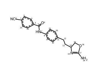 N#Cc1ccc(C(=O)Nc2ccc(CCC3COC(N)=N3)cc2)cc1